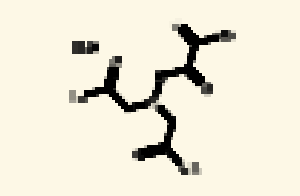 CC(=O)CN(CC(C)=O)OC(=O)C(=O)O.O